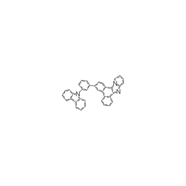 c1cc(-c2ccc3c(c2)c2ccccc2c2nc4ccccn4c32)cc(-n2c3ccccc3c3ccccc32)c1